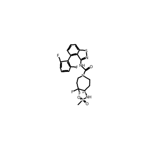 CS(=O)(=O)N[C@@H]1CCN(C(=O)Nc2nsc3cccc(-c4c(F)cccc4F)c23)CCC1(F)F